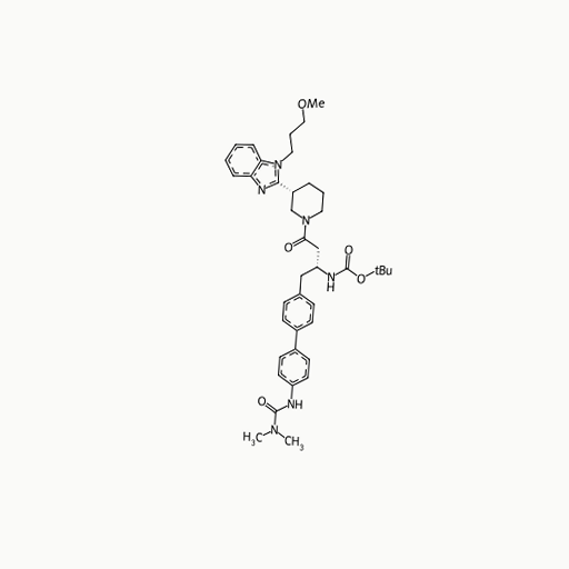 COCCCn1c([C@@H]2CCCN(C(=O)C[C@@H](Cc3ccc(-c4ccc(NC(=O)N(C)C)cc4)cc3)NC(=O)OC(C)(C)C)C2)nc2ccccc21